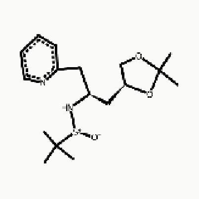 CC1(C)OC[C@H](C[C@H](Cc2ccccn2)N[S@@+]([O-])C(C)(C)C)O1